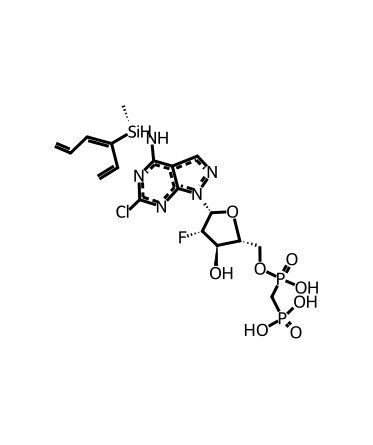 C=C/C=C(\C=C)[Si@H](C)Nc1nc(Cl)nc2c1cnn2[C@@H]1O[C@H](COP(=O)(O)CP(=O)(O)O)[C@@H](O)[C@@H]1F